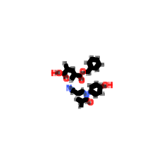 C=C(C)C(=O)N(C=CC#N)c1ccc(O)cc1.C=C(C=C(C)C(=O)O)C(=O)OCc1ccccc1